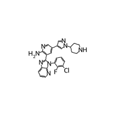 Nc1ncc(-c2cnn(C3CCNCC3)c2)cc1-c1nc2cccnc2n1-c1cccc(Cl)c1F